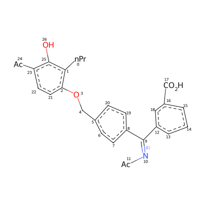 CCCc1c(OCc2ccc(/C(=N\C(C)=O)c3cccc(C(=O)O)c3)cc2)ccc(C(C)=O)c1O